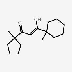 CCC(C)(CC)C(=O)/C=C(\O)C1(C)CCCCC1